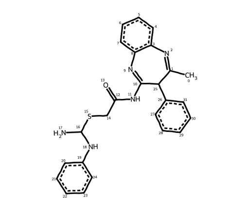 CC1=Nc2ccccc2N=C(NC(=O)CSC(N)Nc2ccccc2)C1c1ccccc1